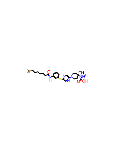 CC1(NC(=O)O)CCN(c2cnc(Sc3cccc(NC(=O)CCCCCCBr)c3)cn2)CC1